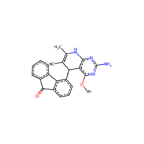 CC1=C(C#N)C(c2cccc3c2-c2ccccc2C3=O)c2c(nc(N)nc2OC(C)C)N1